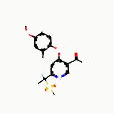 COC(=O)c1cnc(C(C)(F)S(C)(=O)=O)cc1Oc1ccc(OC(F)(F)F)cc1OC